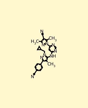 Cc1nn(-c2cc(Nc3c(C)c(-c4ccc(C#N)cc4)nn3CC3CC3)ncn2)c(C)c1C#N